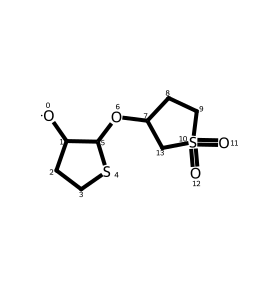 [O]C1CCSC1OC1CCS(=O)(=O)C1